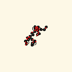 CC1C=Cc2c(cccc2-c2ccc(-c3ccccc3)c(N(c3ccc(-c4cccc(-c5ccccc5)c4)cc3)c3cccc(-c4cccc5oc6c7cc(-c8cccc9c(-c%10ccc(-c%11ccccc%11)c(N(c%11ccc(-c%12cccc%13c%12oc%12ccccc%12%13)cc%11)c%11ccc(-c%12cccc%13oc%14c%15ccccc%15ccc%14c%12%13)cc%11)c%10)cccc89)ccc7ccc6c45)c3)c2)C1